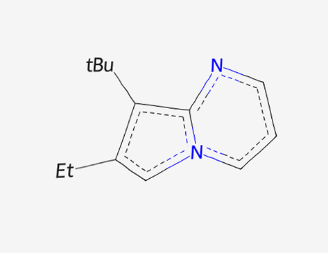 CCc1cn2cccnc2c1C(C)(C)C